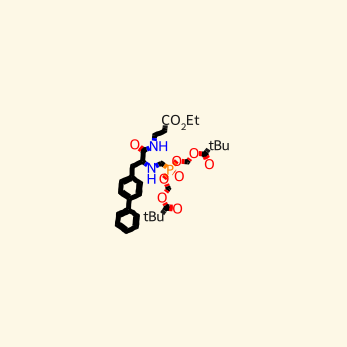 CCOC(=O)CCNC(=O)C(Cc1ccc(-c2ccccc2)cc1)NCP(=O)(OCOC(=O)C(C)(C)C)OCOC(=O)C(C)(C)C